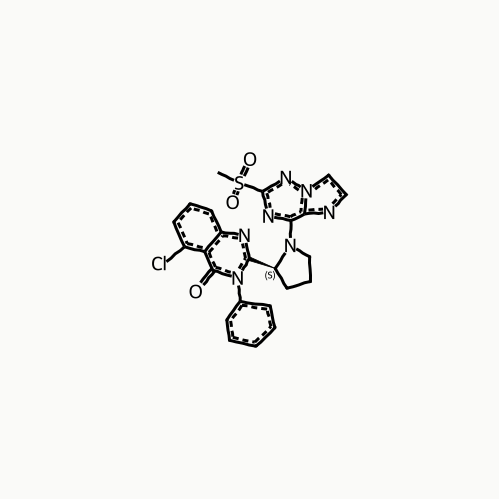 CS(=O)(=O)c1nc(N2CCC[C@H]2c2nc3cccc(Cl)c3c(=O)n2-c2ccccc2)c2nccn2n1